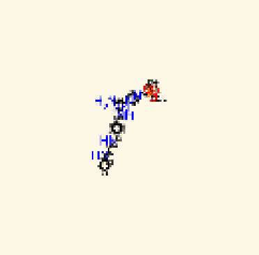 CCOP(=O)(CCN1CCN(c2cc(N)nc(NC[C@H]3CC[C@@H](CNCCCNC4CCCCC4)CC3)n2)CC1)OCC